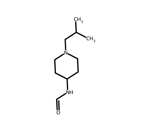 CC(C)CN1CCC(NC=O)CC1